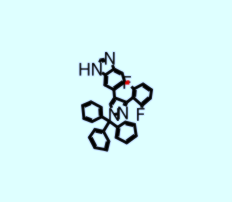 Fc1cccc(F)c1-c1nn(C(c2ccccc2)(c2ccccc2)c2ccccc2)cc1-c1ccc2nc[nH]c2c1